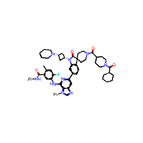 Cc1cc(F)c(Nc2nc(-c3ccc4c(c3)N([C@H]3C[C@@H](N5CCCCC5)C3)C(=O)C43CCN(C(=O)C4CCN(C(=O)C5CCCCC5)CC4)CC3)cc3ncn(C(C)C)c23)cc1C(=O)NC(C)C